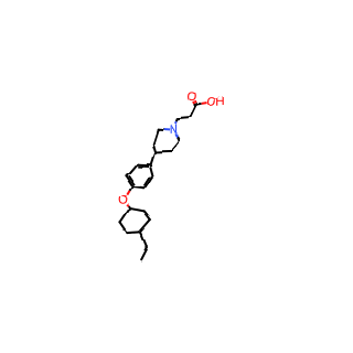 CCC1CCC(Oc2ccc(C3CCN(CCC(=O)O)CC3)cc2)CC1